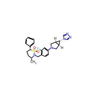 C[C@H]1CC[C@@H](c2ccccc2)S(=O)(=O)N1Cc1ccc(N2C[C@@H]3[C@H](C2)[C@H]3n2cnnc2)cc1F